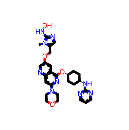 Cn1c(COc2cnc3cc(N4CCOCC4)nc(O[C@H]4CC[C@@H](Nc5ncccn5)CC4)c3c2)cnc1NO